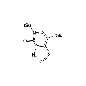 CC(C)(C)c1cn(C(C)(C)C)c(=O)c2ncccc12